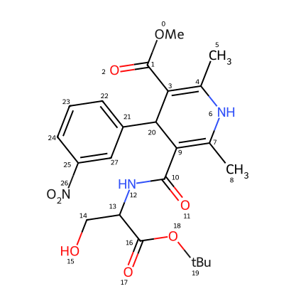 COC(=O)C1=C(C)NC(C)=C(C(=O)NC(CO)C(=O)OC(C)(C)C)C1c1cccc([N+](=O)[O-])c1